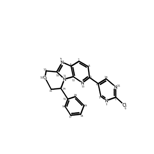 Clc1ncc(-c2ccc3nc4n(c3n2)C(c2ccccc2)COC4)cn1